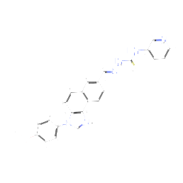 FC(F)(F)Oc1ccc(-n2cnc3c4ccc(C=NNC(=S)Nc5cccnc5)cc4ccc32)cc1